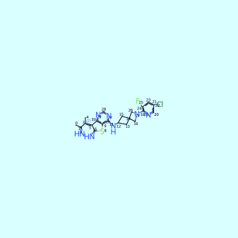 CC(=N)/C(C)=C1\C(=N)Sc2c(NC3CC4(C3)CN(c3ncc(Cl)cc3F)C4)ncnc21